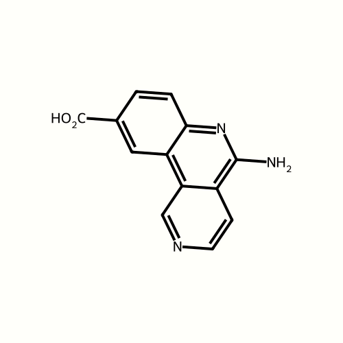 Nc1nc2ccc(C(=O)O)cc2c2cnccc12